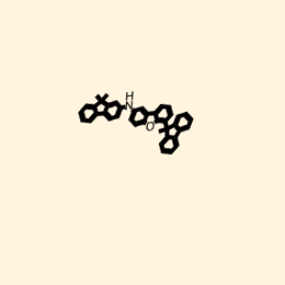 CC1(C)c2ccccc2-c2ccc(Nc3ccc4oc5c(C6(C)c7ccccc7-c7ccccc76)cccc5c4c3)cc21